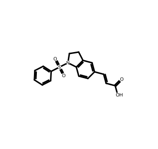 O=C(O)C=Cc1ccc2c(c1)CCN2S(=O)(=O)c1ccccc1